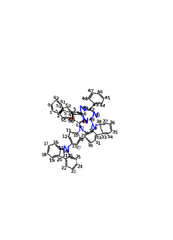 c1ccc(-c2cccc(-n3c4ccc(-n5c6ccccc6c6ccccc65)cc4c4ccc5c6ccccc6n(-c6nc(-c7ccccc7)nc(-c7ccccc7)n6)c5c43)c2)cc1